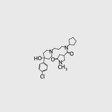 CN1CC(C(=O)N(CCCN2CCC(O)(c3ccc(Cl)cc3)CC2)C2CCCC2)CC1=O